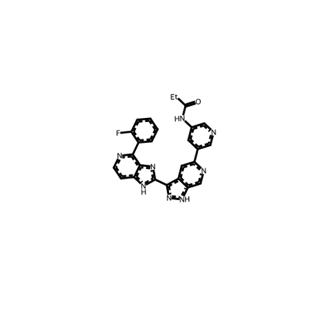 CCC(=O)Nc1cncc(-c2cc3c(-c4nc5c(-c6ccccc6F)nccc5[nH]4)n[nH]c3cn2)c1